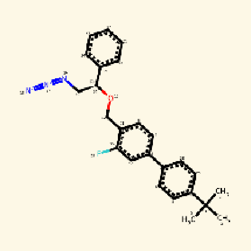 CC(C)(C)c1ccc(-c2ccc(CO[C@@H](CN=[N+]=[N-])c3ccccc3)c(F)c2)cc1